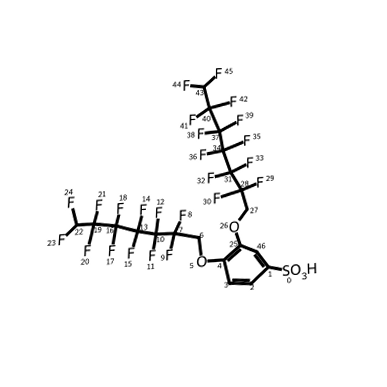 O=S(=O)(O)c1ccc(OCC(F)(F)C(F)(F)C(F)(F)C(F)(F)C(F)(F)C(F)F)c(OCC(F)(F)C(F)(F)C(F)(F)C(F)(F)C(F)(F)C(F)F)c1